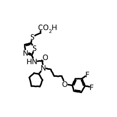 O=C(O)CSc1cnc(NC(=O)N(CCCOc2ccc(F)c(F)c2)C2CCCCC2)s1